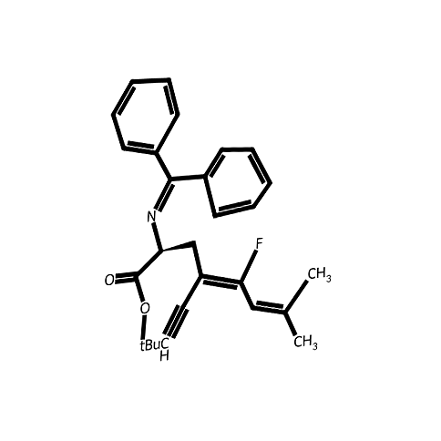 C#C/C(C[C@H](N=C(c1ccccc1)c1ccccc1)C(=O)OC(C)(C)C)=C(/F)C=C(C)C